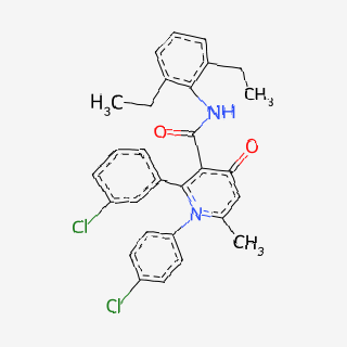 CCc1cccc(CC)c1NC(=O)c1c(-c2cccc(Cl)c2)n(-c2ccc(Cl)cc2)c(C)cc1=O